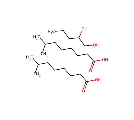 CC(C)CCCCCC(=O)O.CC(C)CCCCCC(=O)O.CCCC(O)CO